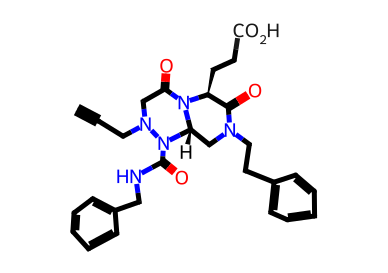 C#CCN1CC(=O)N2[C@@H](CCC(=O)O)C(=O)N(CCc3ccccc3)C[C@@H]2N1C(=O)NCc1ccccc1